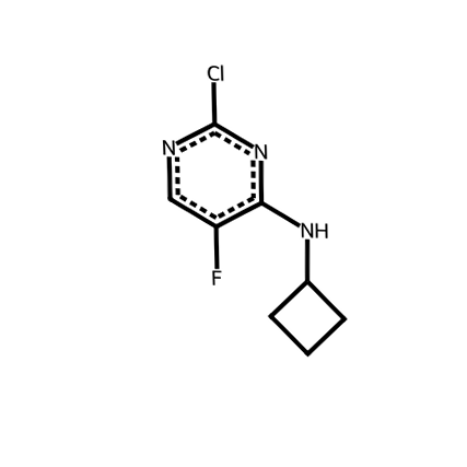 Fc1cnc(Cl)nc1NC1CCC1